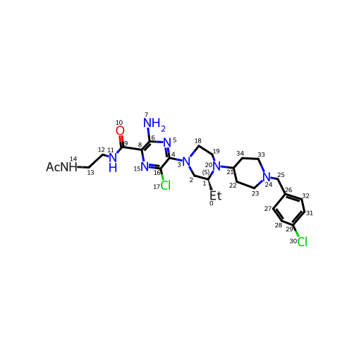 CC[C@H]1CN(c2nc(N)c(C(=O)NCCNC(C)=O)nc2Cl)CCN1C1CCN(Cc2ccc(Cl)cc2)CC1